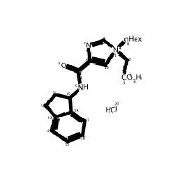 CCCCCC[N+]1(CC(=O)O)C=NC(C(=O)NC2CCc3ccccc32)=C1.Cl